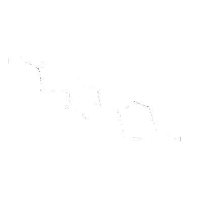 CC(=O)Oc1ccc(N2CCN(C)CC2)nc1Cl